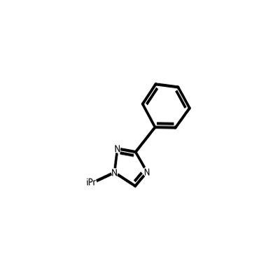 CC(C)n1cnc(-c2ccccc2)n1